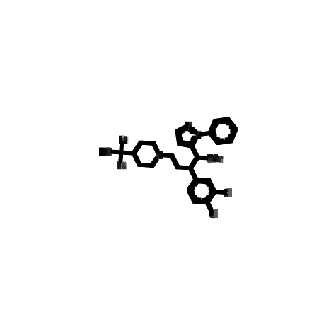 CCC(O)(CC)C1CCN(CCC(c2ccc(Cl)c(Cl)c2)C(OC(C)=O)c2ccnn2-c2ccccc2)CC1